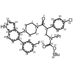 CC(C)N(CC(C(=O)N1CCN(c2c(-c3cccc(F)c3)cnc3[nH]ncc23)CC1)c1ccc(Cl)cc1)C(=O)OC(C)(C)C